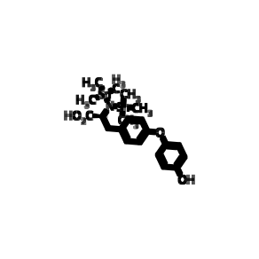 [CH3][Sn]([CH3])([CH3])[N]([C@@H](Cc1ccc(Oc2ccc(O)cc2)cc1)C(=O)O)[Sn]([CH3])([CH3])[CH3]